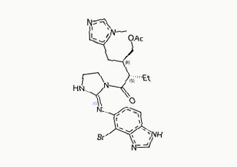 CC[C@H](C(=O)N1CCN/C1=N/c1ccc2[nH]cnc2c1Br)[C@H](COC(C)=O)Cc1cncn1C